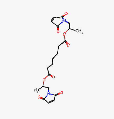 CC(CN1C(=O)C=CC1=O)OC(=O)CCCCCC(=O)OC(C)CN1C(=O)C=CC1=O